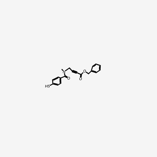 CN(CC#CC(=O)OCc1ccccc1)C(=O)c1ccc(S)cc1